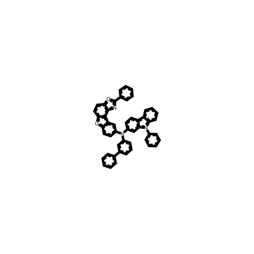 c1ccc(-c2cccc(N(c3ccc4oc5ccc6oc(-c7ccccc7)nc6c5c4c3)c3ccc4c5ccccc5n(-c5ccccc5)c4c3)c2)cc1